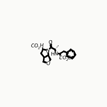 CCOC(=O)C(Cc1ccccc1)N[C@@H](C)C(=O)N1C2COCC2C[C@H]1C(=O)O